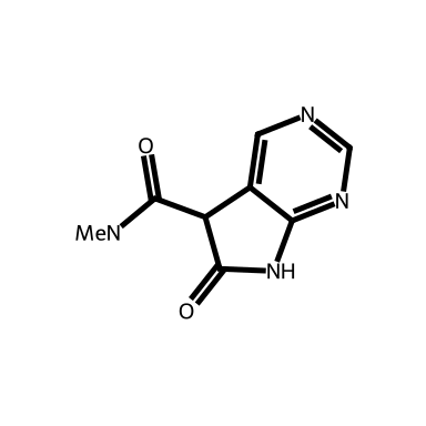 CNC(=O)C1C(=O)Nc2ncncc21